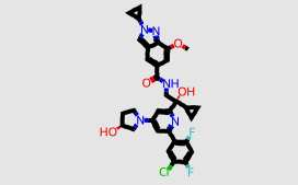 COc1cc(C(=O)NC[C@](O)(c2cc(N3CC[C@H](O)C3)cc(-c3cc(Cl)c(F)cc3F)n2)C2CC2)cc2cn(C3CC3)nc12